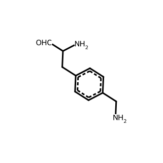 NCc1ccc(CC(N)C=O)cc1